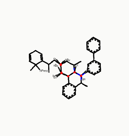 CCCCCC1(C)C=CCC=C1C(C)CCCC(C)N(C(CCC)C(C)CC)C(c1ccccc1C(C)N(c1cccc(-c2ccccc2)c1)C(CC)CC(CC)C(CC)CCCC)C(CC)CCCC